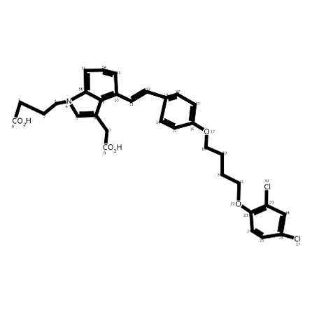 O=C(O)CCCn1cc(CC(=O)O)c2c(/C=C/c3ccc(OCCCCOc4ccc(Cl)cc4Cl)cc3)cccc21